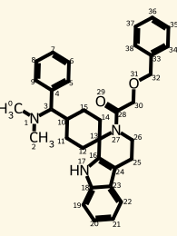 CN(C)C(c1ccccc1)C1CCC2(CC1)c1[nH]c3ccccc3c1CCN2C(=O)COCc1ccccc1